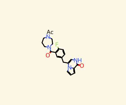 CC(=O)N1CCCN(C(=O)c2cc(Cc3c[nH]c(=O)c4cccn34)ccc2F)CC1